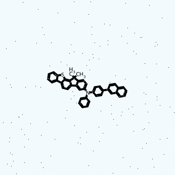 CC1(C)c2ccc(N(c3ccccc3)c3ccc(-c4ccc5ccccc5c4)cc3)cc2-c2ccc3c(sc4ccccc43)c21